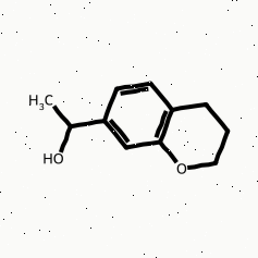 CC(O)c1ccc2c(c1)OCCC2